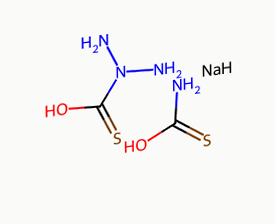 NC(O)=S.NN(N)C(O)=S.[NaH]